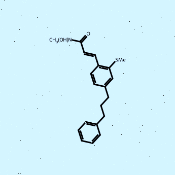 CSc1cc(CCCc2ccccc2)ccc1C=CC(=O)N(C)O